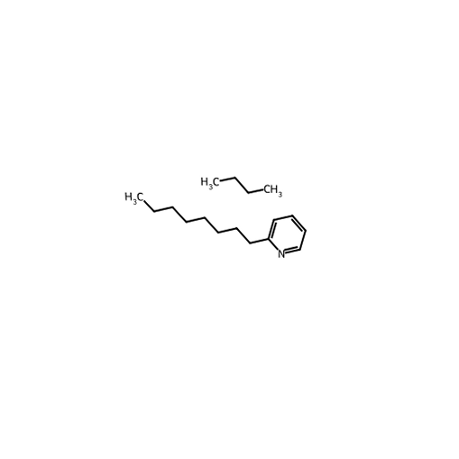 CCCC.CCCCCCCCc1ccccn1